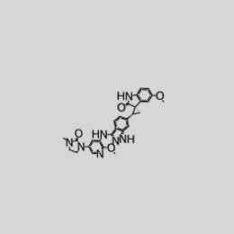 COc1ccc2c(c1)[C@]1(C[C@H]1c1ccc3c(Nc4cc(N5CCN(C)C5=O)cnc4OC)n[nH]c3c1)C(=O)N2